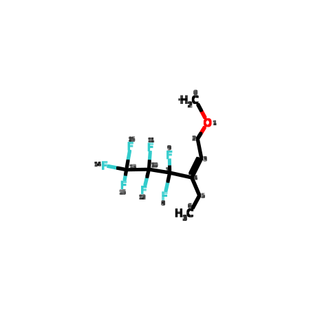 [CH2]OCC=C(CC)C(F)(F)C(F)(F)C(F)(F)F